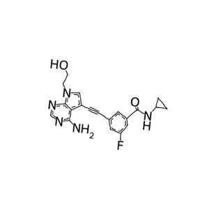 Nc1ncnc2c1c(C#Cc1cc(F)cc(C(=O)NC3CC3)c1)cn2CCO